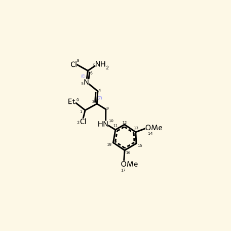 CCC(Cl)/C(=C\N=C(/N)Cl)CNc1cc(OC)cc(OC)c1